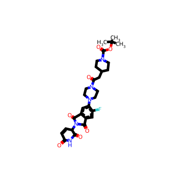 CC(C)(C)OC(=O)N1CCC(CC(=O)N2CCN(c3cc4c(cc3F)C(=O)N(C3C=CC(=O)NC3=O)C4=O)CC2)CC1